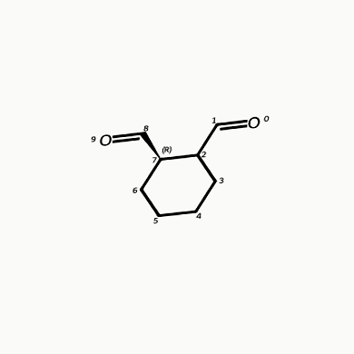 O=CC1CCCC[C@H]1C=O